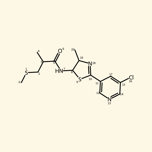 CSCC(C)C(=O)NC1SC(c2cncc(Cl)c2)=NC1C